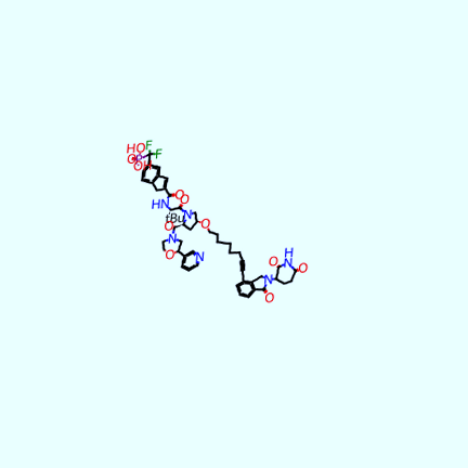 CC(C)(C)[C@H](NC(=O)C1=Cc2cc(C(F)(F)P(=O)(O)O)ccc2C1)C(=O)N1C[C@@H](OCCCCCCC#Cc2cccc3c2CN(C2CCC(=O)NC2=O)C3=O)C[C@H]1C(=O)N1CCOC(c2cccnc2)C1